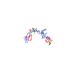 CC(C)n1nc(N2CCC(N(C)Cc3ccc4c(c3F)CN(C3CCC(=O)NC3=O)C4=O)CC2)c2cnc(Nc3ccnc(-c4cnn(S(=O)(=O)C5CC5)c4)n3)cc21